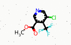 COC(=O)c1cncc(Cl)c1C(F)(F)F